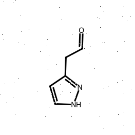 O=[C]Cc1cc[nH]n1